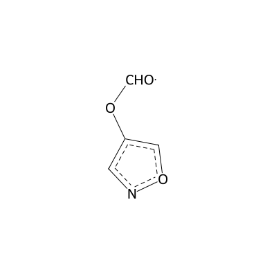 O=[C]Oc1cnoc1